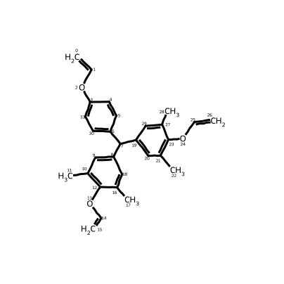 C=COc1ccc(C(c2cc(C)c(OC=C)c(C)c2)c2cc(C)c(OC=C)c(C)c2)cc1